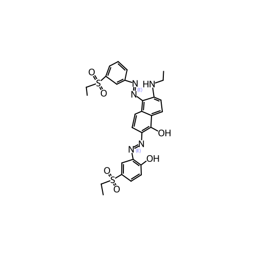 CCNc1ccc2c(O)c(/N=N/c3cc(S(=O)(=O)CC)ccc3O)ccc2c1/N=N/c1cccc(S(=O)(=O)CC)c1